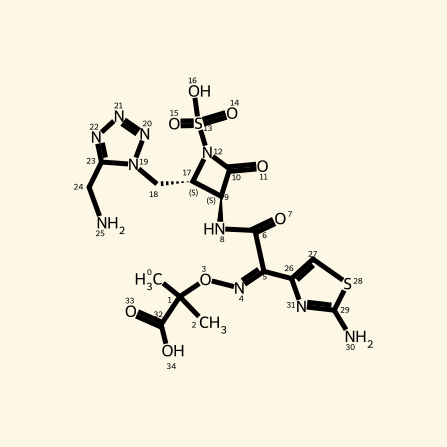 CC(C)(ON=C(C(=O)N[C@@H]1C(=O)N(S(=O)(=O)O)[C@H]1Cn1nnnc1CN)c1csc(N)n1)C(=O)O